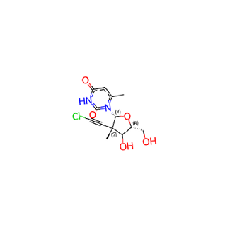 Cc1cc(=O)[nH]c(=O)n1[C@@H]1O[C@H](CO)C(O)[C@]1(C)C#CCl